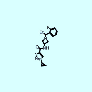 CCC(c1ccccc1F)N1CC(NC(=O)c2cn(C3CC3)nn2)C1